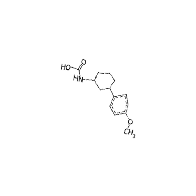 COc1ccc(C2CCCC(NC(=O)O)C2)cc1